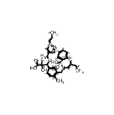 CCCn1cc(COC(c2ccc(C)c(CN3CC(CC)Oc4ccccc4S3(O)O)c2)C(C)(C)C(=O)O)nn1